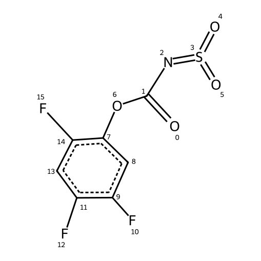 O=C(N=S(=O)=O)Oc1cc(F)c(F)cc1F